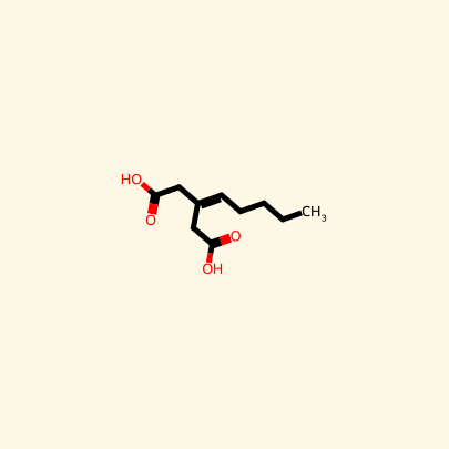 CCCCC=C(CC(=O)O)CC(=O)O